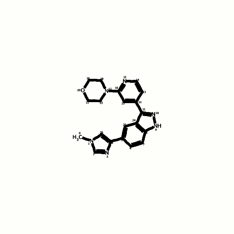 Cn1cnc(-c2ccc3[nH]nc(-c4ccnc(N5CCOCC5)c4)c3c2)c1